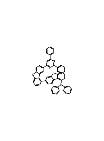 c1ccc(-c2nc(-c3ccccc3)nc(-c3ccc4sc5cccc(-c6ccc7c(c6)sc6cccc(-n8c9ccccc9c9ccccc98)c67)c5c4c3)n2)cc1